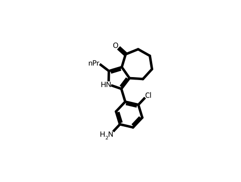 CCCc1[nH]c(-c2cc(N)ccc2Cl)c2c1C(=O)CCCC2